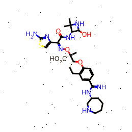 CC1(C)NC(O)[C@H]1NC(=O)/C(=N\O[C@](C)(C(=O)O)[C@H]1CCc2cc(C(=N)N[C@H]3CCCCNC3)ccc2O1)c1csc(N)n1